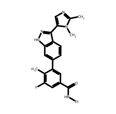 CCNC(=O)c1cc(F)c(C)c(-c2ccc3c(-c4cnc(C)n4C)n[nH]c3c2)c1